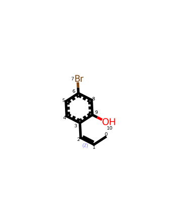 C/C=C\c1ccc(Br)cc1O